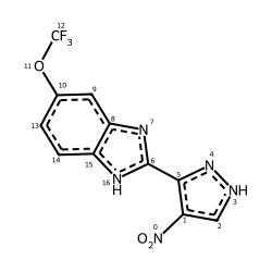 O=[N+]([O-])c1c[nH]nc1-c1nc2cc(OC(F)(F)F)ccc2[nH]1